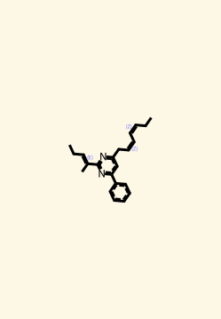 CC/C=C\C=C/Cc1cc(-c2ccccc2)nc(/C(C)=C/CC)n1